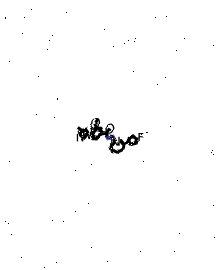 COc1cc(C(=O)/C=C/N2C=C(c3ccc(F)cc3)CCCC2)ccc1-n1cnc(C)c1